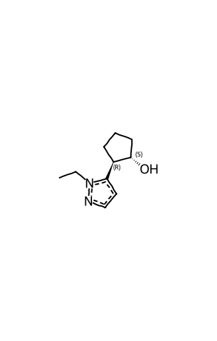 CCn1nccc1[C@H]1CCC[C@@H]1O